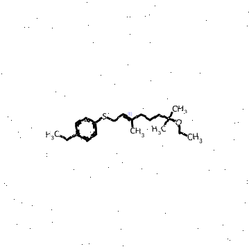 CCOC(C)(C)CCC/C(C)=C/CSc1ccc(CC)cc1